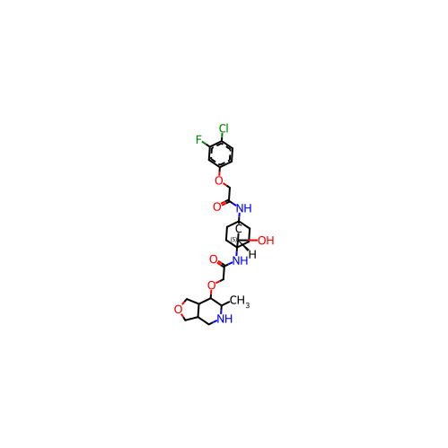 CC1NCC2COCC2C1OCC(=O)NC12CCC(NC(=O)COc3ccc(Cl)c(F)c3)(CC1)C[C@@H]2O